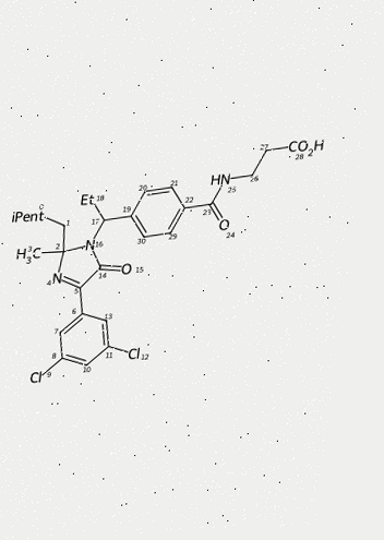 CCCC(C)CC1(C)N=C(c2cc(Cl)cc(Cl)c2)C(=O)N1C(CC)c1ccc(C(=O)NCCC(=O)O)cc1